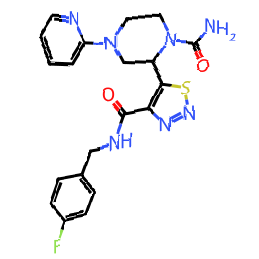 NC(=O)N1CCN(c2ccccn2)CC1c1snnc1C(=O)NCc1ccc(F)cc1